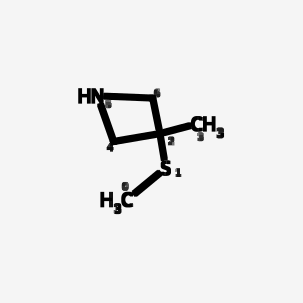 CSC1(C)CNC1